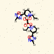 CCC[N+]1(OC(=O)C(=O)O[N+]2(CCC)CCC=C(c3nc(C)no3)C2)CCC=C(c2nc(C)no2)C1